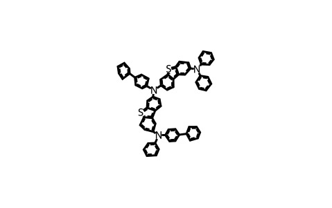 c1ccc(-c2ccc(N(c3ccc4c(c3)sc3ccc(N(c5ccccc5)c5ccccc5)cc34)c3ccc4c(c3)sc3ccc(N(c5ccccc5)c5ccc(-c6ccccc6)cc5)cc34)cc2)cc1